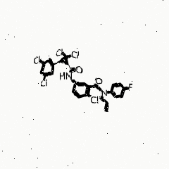 C=CCN(C(=O)c1cc(NC(=O)[C@@H]2[C@@H](c3cc(Cl)cc(Cl)c3)C2(Cl)Cl)ccc1Cl)c1ccc(F)cc1